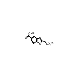 CCOC(=O)Cc1nc2cc(C(=O)OC)ccc2o1